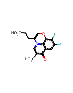 O=C(O)CCC1=COc2c(F)c(F)cc3c(=O)c(C(=O)O)cn1c23